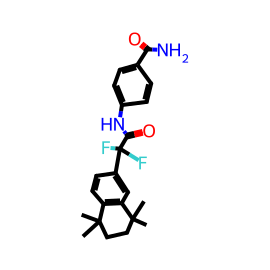 CC1(C)CCC(C)(C)c2cc(C(F)(F)C(=O)Nc3ccc(C(N)=O)cc3)ccc21